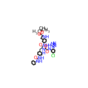 CC(C)(C)OC(=O)c1cc2cc(NC(=O)C(Cc3ccc(NC(=O)Nc4ccccc4)cc3)NC(=O)C(=O)Nc3cc(Cl)ccc3-n3cnnn3)ccc2[nH]1